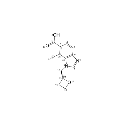 O=C(O)c1ccc2ncn(C[C@@H]3CCO3)c2c1F